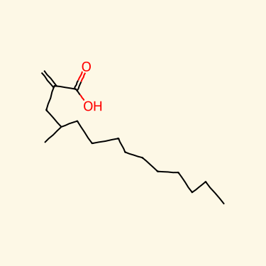 C=C(CC(C)CCCCCCCCCC)C(=O)O